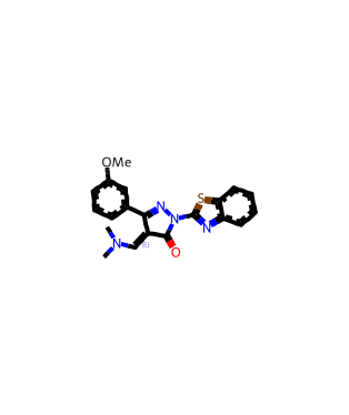 COc1cccc(C2=NN(c3nc4ccccc4s3)C(=O)/C2=C/N(C)C)c1